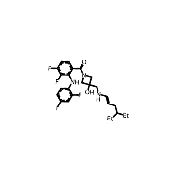 CCC(CC)C/C=C/NCC1(O)CN(C(=O)c2ccc(F)c(F)c2Nc2ccc(I)cc2F)C1